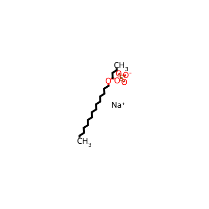 CCCCCCCCCCCCCCCOC(CCC)OS(=O)(=O)[O-].[Na+]